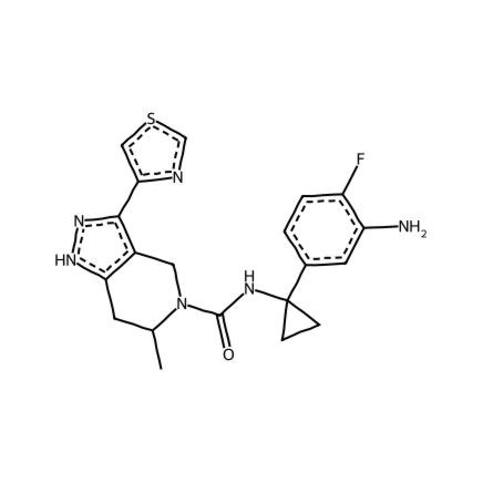 CC1Cc2[nH]nc(-c3cscn3)c2CN1C(=O)NC1(c2ccc(F)c(N)c2)CC1